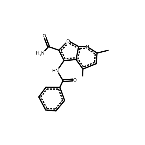 Cc1cc(C)c2c(NC(=O)c3ccccc3)c(C(N)=O)oc2n1